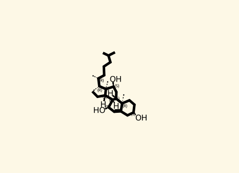 CC(C)CCC[C@@H](C)[C@H]1CC[C@H]2[C@@H]3[C@H](O)C=C4C[C@@H](O)CC[C@]4(C)[C@H]3C[C@H](O)[C@]12C